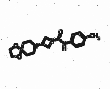 Cc1ccc(NC(=O)N2CC(N3CCC4(CC3)OCCO4)C2)cc1